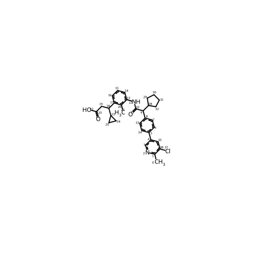 Cc1ncc(-c2ccc(C(C(=O)Nc3cccc(C(CC(=O)O)C4CC4)c3C)C3CCCC3)cc2)cc1Cl